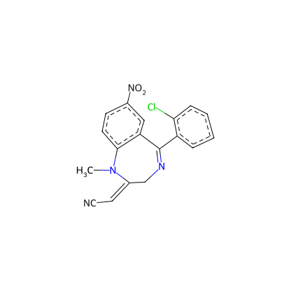 CN1C(=CC#N)CN=C(c2ccccc2Cl)c2cc([N+](=O)[O-])ccc21